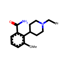 COc1cccc(C(N)=O)c1C1CCN(CC(C)C)CC1